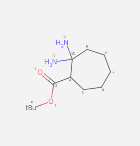 CC(C)(C)OC(=O)C1CCCCCC1(N)N